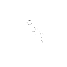 CC1=CCC(c2cccc(C(F)(F)F)c2)[C]=C1N1CCC[C@@]1(C)c1nc2cc(C(F)(F)F)ccc2[nH]1